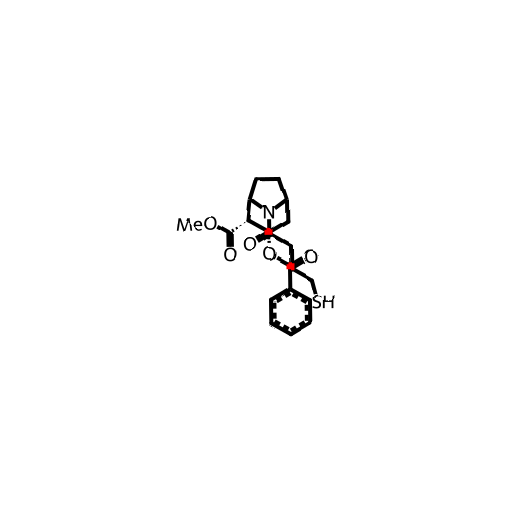 COC(=O)[C@@H]1C2CCC(C[C@@H]1OC(=O)c1ccccc1)N2C(=O)CCCS